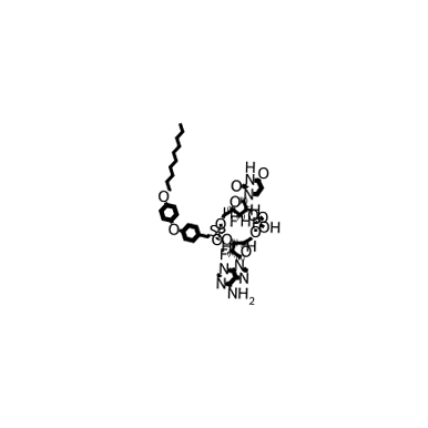 CCCCCCCCCCOc1ccc(Oc2ccc(CSP3(=O)OC[C@H]4O[C@@H](n5ccc(=O)[nH]c5=O)[C@H](OP(=O)(O)OC[C@H]5O[C@@H](n6cnc7c(N)ncnc76)[C@H](F)[C@@H]5O3)[C@@H]4F)cc2)cc1